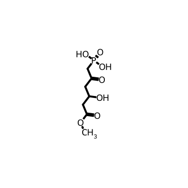 COC(=O)CC(O)CC(=O)CP(=O)(O)O